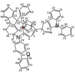 CC1(N(C2=CC=C(C3C=Cc4c(c5ccccc5n4-c4ccccc4)C3)CC=C2)c2ccc3c(c2)oc2ccccc23)C=C2C(CC1)c1ccccc1C2(c1ccccc1)c1ccccc1